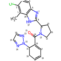 Cc1c(Cl)ccc2nc(C3CCCN3C(=O)C3=CC=CCC3n3nccn3)[nH]c12